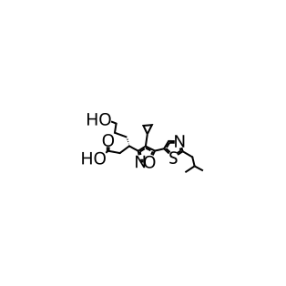 CC(C)Cc1ncc(-c2onc([C@@H](CCCO)CC(=O)O)c2C2CC2)s1